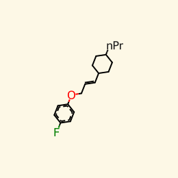 CCCC1CCC(/C=C/COc2ccc(F)cc2)CC1